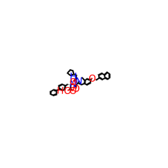 O=C(N[C@@H](Cc1ccc(-c2ccccc2)cc1)C(=O)O)C1Cc2ccc(OCc3ccc4ccccc4c3)cc2CN1C(=O)CC1CCCC1